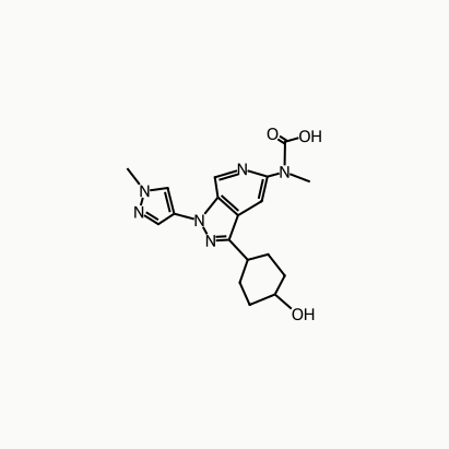 CN(C(=O)O)c1cc2c(C3CCC(O)CC3)nn(-c3cnn(C)c3)c2cn1